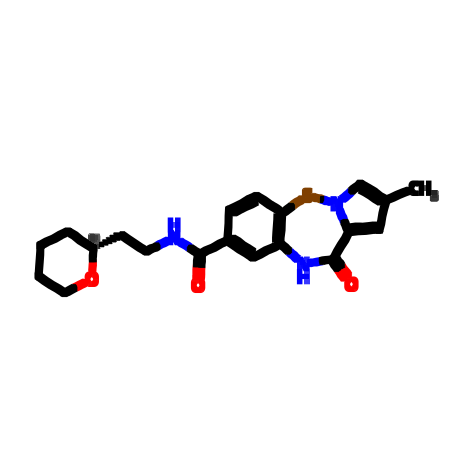 Cc1cc2n(c1)Sc1ccc(C(=O)NCC[C@H]3CCCCO3)cc1NC2=O